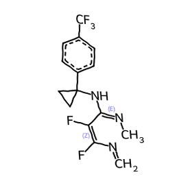 C=N/C(F)=C(F)\C(=N/C)NC1(c2ccc(C(F)(F)F)cc2)CC1